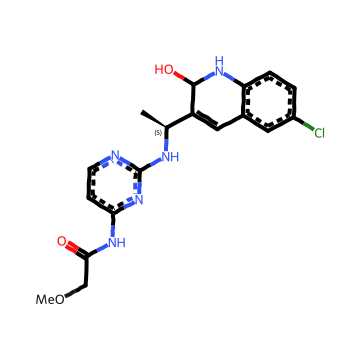 COCC(=O)Nc1ccnc(N[C@@H](C)C2=Cc3cc(Cl)ccc3NC2O)n1